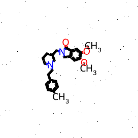 COc1cc2c(cc1OC)C(=O)N(CC1CCCN(CCc3ccc(C)cc3)C1)C2